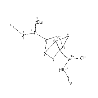 CC(C)(C)P(BI)C1C2CC3C(C31)C2P(Cl)BI